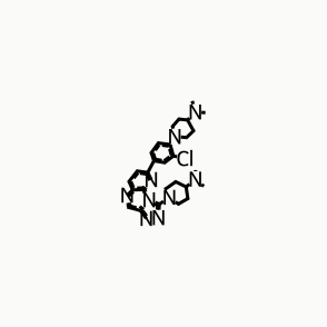 CN(C)C1CCN(c2ccc(-c3ccc4ncc5nnc(N6CCC(N(C)C)CC6)n5c4n3)cc2Cl)CC1